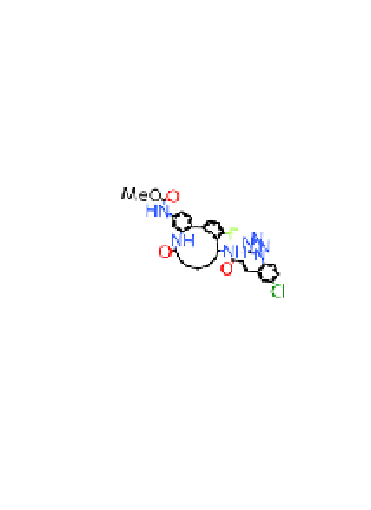 COC(=O)Nc1ccc2c(c1)NC(=O)CCCCCC(NC(=O)C=Cc1cc(Cl)ccc1-n1cnnn1)c1cc-2ccc1F